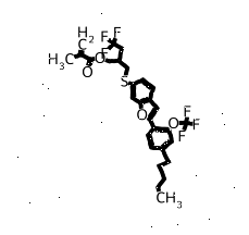 C=C(C)C(=O)OCC(CSc1ccc2cc(-c3ccc(CCCCC)cc3OC(F)(F)F)oc2c1)CC(F)(F)F